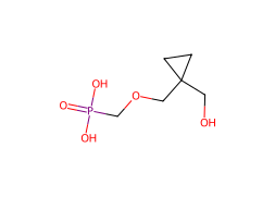 O=P(O)(O)COCC1(CO)CC1